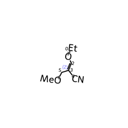 CCO/C=C(/C#N)COC